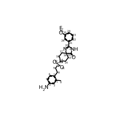 Cc1cc(N)ccc1CCS(=O)(=O)N1CCC2(CC1)N=C(c1cccc(OF)c1)NC2=O